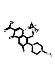 COc1c(N2CCN(C)CC2)c(F)cc2c(=O)c(C(=O)O)cn([C@@H]3C[C@H]3F)c12